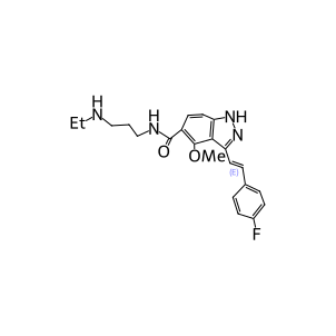 CCNCCCNC(=O)c1ccc2[nH]nc(/C=C/c3ccc(F)cc3)c2c1OC